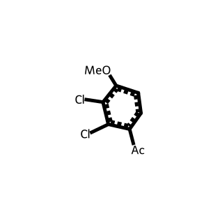 COc1ccc(C(C)=O)c(Cl)c1Cl